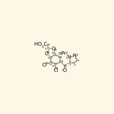 CCCn1nccc1C(=O)c1cc2c(c(Cl)c1Cl)OC(C(=O)O)O2